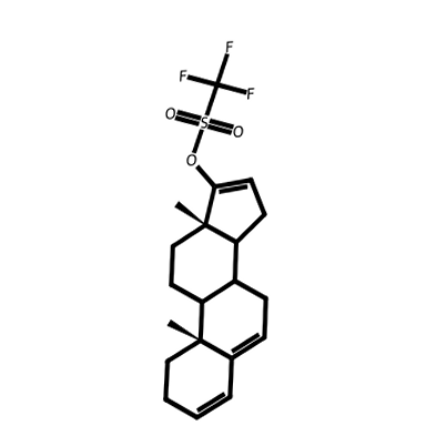 C[C@]12CCC=CC1=CCC1C2CC[C@]2(C)C(OS(=O)(=O)C(F)(F)F)=CCC12